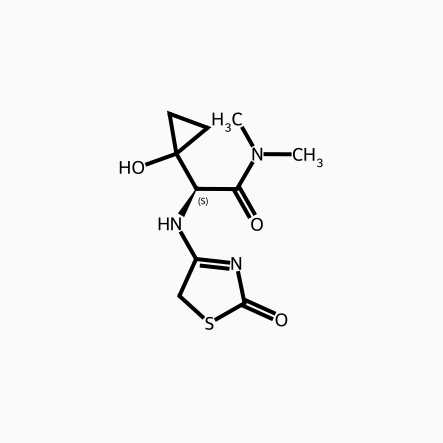 CN(C)C(=O)[C@@H](NC1=NC(=O)SC1)C1(O)CC1